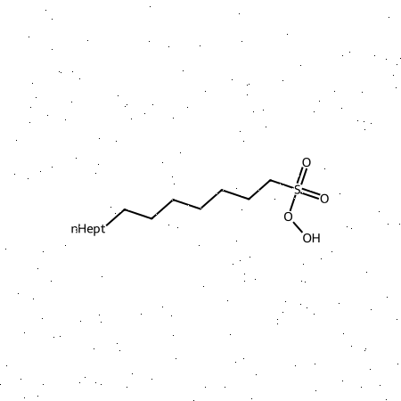 CCCCCCCCCCCCCCS(=O)(=O)OO